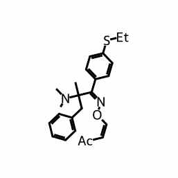 CCSc1ccc(/C(=N/O/C=C\C(C)=O)C(C)(Cc2ccccc2)N(C)C)cc1